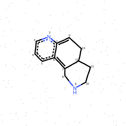 C1=c2ncccc2=C2CNCCC2C1